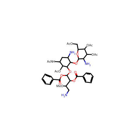 COC(CN)C(OC(=O)c1ccccc1)C(OC(=O)c1ccccc1)OC1C(OC2OC(COC(C)=O)C(OC(C)=O)C(OC(C)=O)C2N)C(N)CC(NC(C)=O)C1OC(C)=O